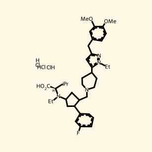 CCN(C1CC(CN2CCC(c3cc(Cc4ccc(OC)c(OC)c4)nn3CC)CC2)C(c2cccc(F)c2)C1)[C@@H](C(=O)O)C(C)C.Cl.Cl.Cl